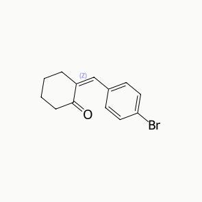 O=C1CCCC/C1=C/c1ccc(Br)cc1